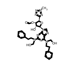 Cn1nnc([C@H]2O[C@@H](n3cnc4c(N(CO)CCc5ccccc5)nc(N(CO)CCc5ccccc5)nc43)[C@H](O)[C@@H]2OC=O)n1